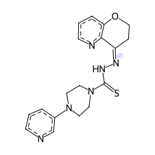 S=C(N/N=C1/CCOc2cccnc21)N1CCN(c2cccnc2)CC1